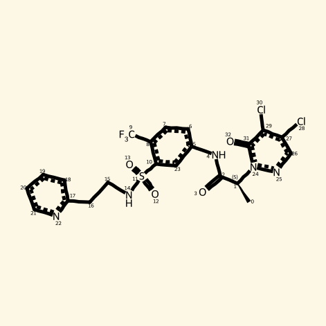 C[C@@H](C(=O)Nc1ccc(C(F)(F)F)c(S(=O)(=O)NCCc2ccccn2)c1)n1ncc(Cl)c(Cl)c1=O